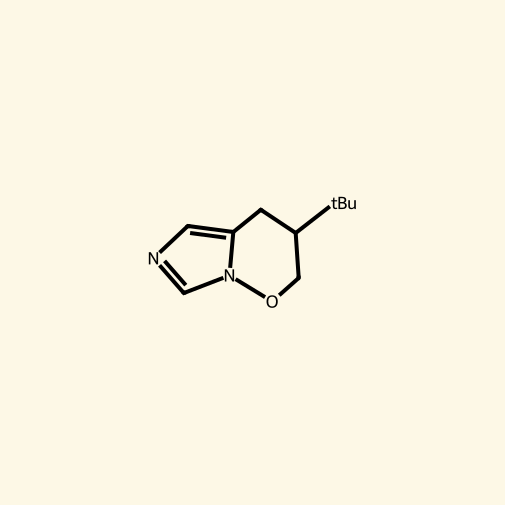 CC(C)(C)C1COn2cncc2C1